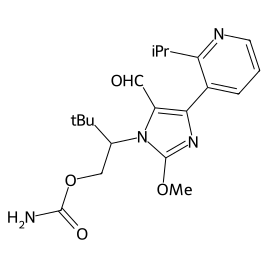 COc1nc(-c2cccnc2C(C)C)c(C=O)n1C(COC(N)=O)C(C)(C)C